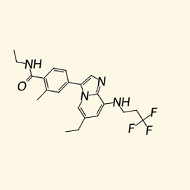 CCNC(=O)c1ccc(-c2cnc3c(NCCC(F)(F)F)cc(CC)cn23)cc1C